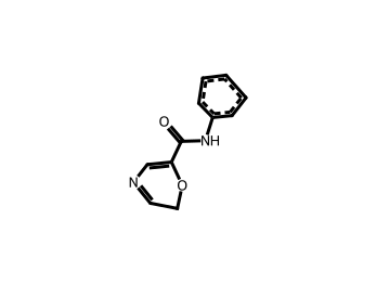 O=C(Nc1ccccc1)C1=CN=CCO1